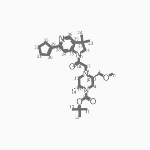 COC[C@H]1CN(C(=O)OC(C)(C)C)[C@H](C)CN1CC(=O)N1CC(C)(C)c2cnc(C3=CCCC3)cc21